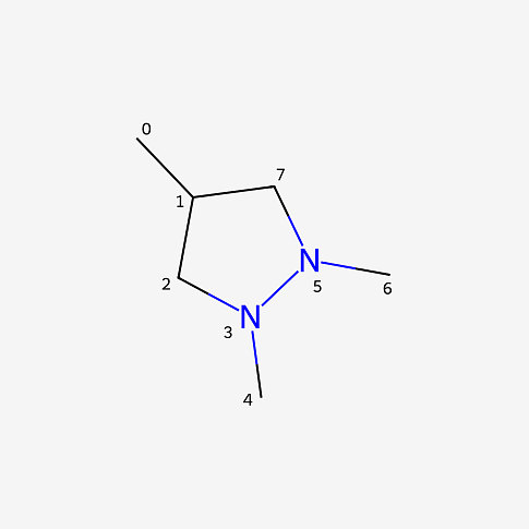 CC1CN(C)N(C)C1